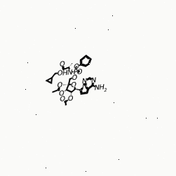 CC(=O)O[C@H]1[C@H](c2ccc3c(N)ncnn23)O[C@](C)(CO[P@](=O)(N[C@@H](C)C(=O)OCC2CC2)Oc2ccccc2)[C@H]1OC(C)=O